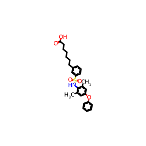 Cc1cc(Oc2ccccc2)cc(C)c1NS(=O)(=O)c1cccc(CCCCCCC(=O)O)c1